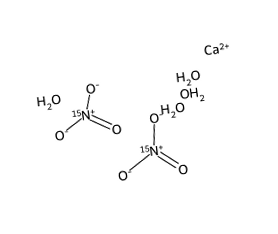 O.O.O.O.O=[15N+]([O-])[O-].O=[15N+]([O-])[O-].[Ca+2]